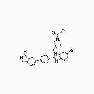 O=C(C1CC1)N1CC[C@@H](Cn2c(-c3ccc(-c4ccc5cn[nH]c5c4)cc3)nc3ccc(Br)cc32)C1